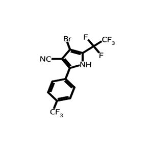 N#Cc1c(-c2ccc(C(F)(F)F)cc2)[nH]c(C(F)(F)C(F)(F)F)c1Br